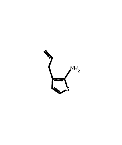 C=CCc1ccsc1N